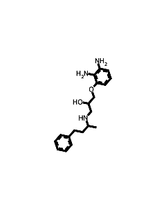 CC(CCc1ccccc1)NCC(O)COc1cccc(N)c1N